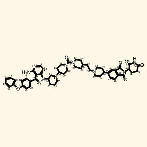 Nc1ncnc2c1c(-c1ccc(Oc3ccccc3)cc1)nn2C1CCCN(C2CCN(C(=O)N3CCC(CCN4CCC(c5ccc6c(c5)C(=O)N(C5CCC(=O)NC5=O)C6=O)CC4)CC3)CC2)C1